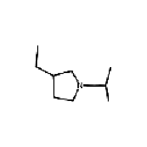 CCC1CCN(C(C)C)C1